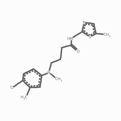 Cc1cnc(NC(=O)CCCN(C)c2ccc(Cl)c(C)c2)s1